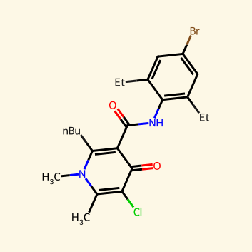 CCCCc1c(C(=O)Nc2c(CC)cc(Br)cc2CC)c(=O)c(Cl)c(C)n1C